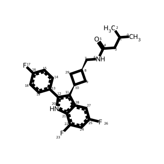 CC(C)CC(=O)NC[C@H]1C[C@@H](c2c(-c3ccc(F)cc3)[nH]c3c(F)cc(F)cc32)C1